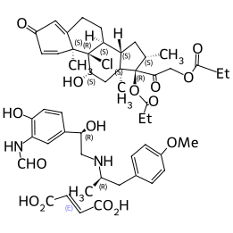 CCC(=O)OCC(=O)[C@@]1(OC(=O)CC)[C@@H](C)C[C@H]2[C@@H]3CCC4=CC(=O)C=C[C@]4(C)[C@@]3(Cl)[C@@H](O)C[C@@]21C.COc1ccc(C[C@@H](C)NC[C@H](O)c2ccc(O)c(NC=O)c2)cc1.O=C(O)/C=C/C(=O)O